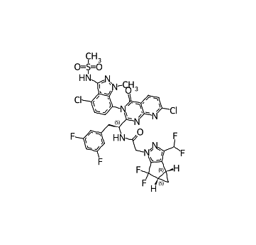 Cn1nc(NS(C)(=O)=O)c2c(Cl)ccc(-n3c([C@H](Cc4cc(F)cc(F)c4)NC(=O)Cn4nc(C(F)F)c5c4C(F)(F)[C@H]4C[C@@H]54)nc4nc(Cl)ccc4c3=O)c21